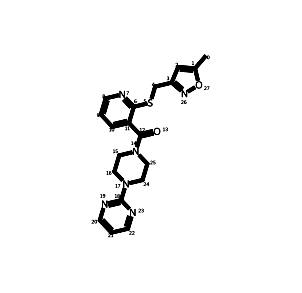 Cc1cc(CSc2ncccc2C(=O)N2CCN(c3ncccn3)CC2)no1